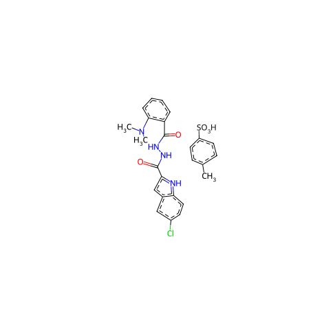 CN(C)c1ccccc1C(=O)NNC(=O)c1cc2cc(Cl)ccc2[nH]1.Cc1ccc(S(=O)(=O)O)cc1